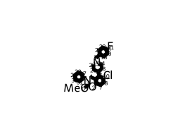 COC(=O)N(Cc1cccc(Cl)c1C1CCN(Cc2ccc(F)cc2)CC1)c1ccccc1